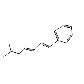 CC(C)CC=CC=Cc1ccccc1